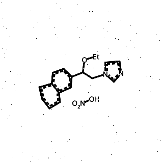 CCOC(Cn1ccnc1)c1ccc2ccccc2c1.O=[N+]([O-])O